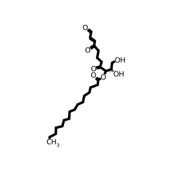 CCCCCCCCCCCCCCCC(=O)OC(C(=O)CCCC(=O)C=CC=O)[C@@H](O)CO